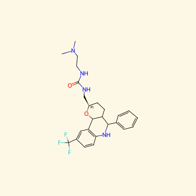 CN(C)CCNC(=O)NC[C@H]1CCC2C(c3ccccc3)Nc3ccc(C(F)(F)F)cc3C2O1